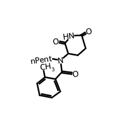 CCCCCN(C(=O)c1ccccc1C)C1CCC(=O)NC1=O